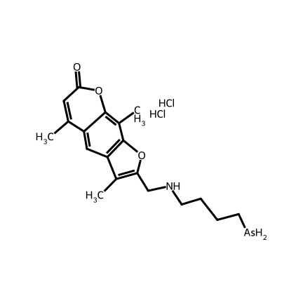 Cc1cc(=O)oc2c(C)c3oc(CNCCCC[AsH2])c(C)c3cc12.Cl.Cl